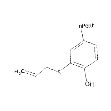 C=CCSc1cc(CCCCC)ccc1O